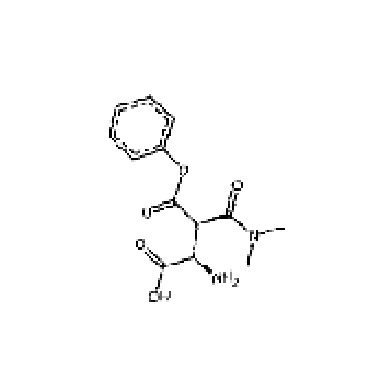 CN(C)C(=O)[C@H](C(=O)Oc1ccccc1)[C@@H](N)C(=O)O